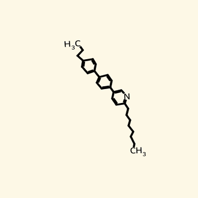 CCCCCCCCc1ccc(-c2ccc(-c3ccc(CCC)cc3)cc2)cn1